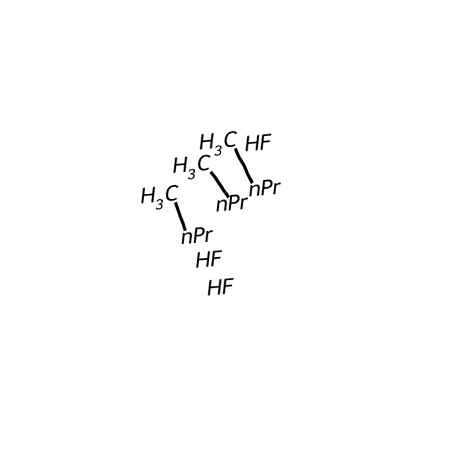 CCCC.CCCC.CCCC.F.F.F